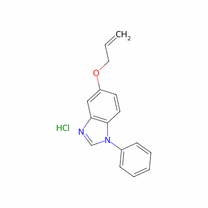 C=CCOc1ccc2c(c1)ncn2-c1ccccc1.Cl